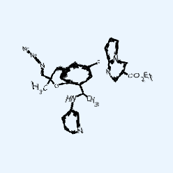 CC(Nc1cccnc1)c1cc(F)cc2c1OC(C)(CN=[N+]=[N-])C2.CCOC(=O)c1cnc2cccn2c1